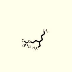 CCCCC(CC)CCOP(=O)(Cl)Cl